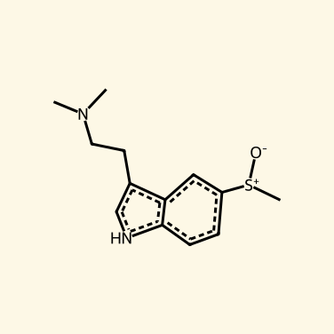 CN(C)CCc1c[nH]c2ccc([S+](C)[O-])cc12